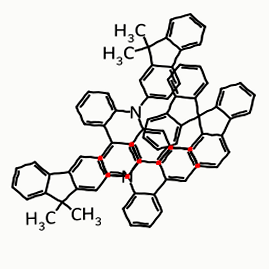 CC1(C)c2ccccc2-c2ccc(N(c3cc(-c4cccc5c4C4(c6ccccc6-c6ccccc64)c4ccccc4-5)cc(N(c4ccc5c(c4)C(C)(C)c4ccccc4-5)c4ccccc4-c4ccccc4)c3)c3ccccc3-c3ccccc3)cc21